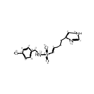 O=S(=O)(/C=C/CCc1c[nH]cn1)NCc1ccc(Cl)cc1